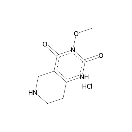 COn1c(=O)[nH]c2c(c1=O)CNCC2.Cl